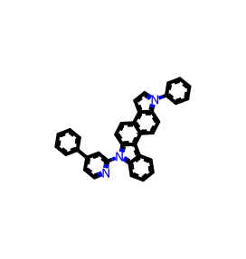 c1ccc(-c2ccnc(-n3c4ccccc4c4c5ccc6c(ccn6-c6ccccc6)c5ccc43)c2)cc1